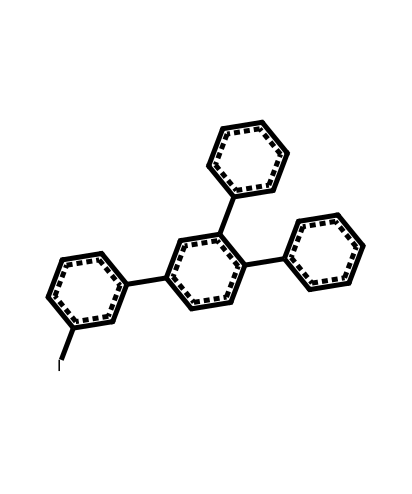 Ic1cccc(-c2ccc(-c3ccccc3)c(-c3ccccc3)c2)c1